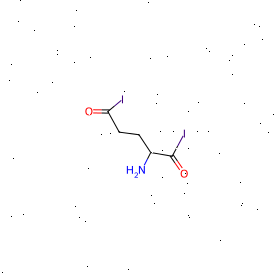 NC(CCC(=O)I)C(=O)I